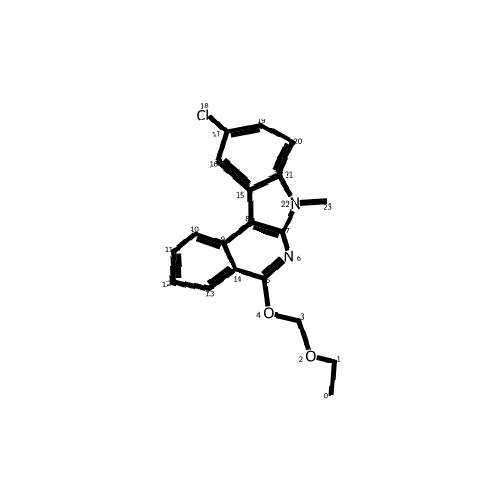 CCOCOc1nc2c(c3ccccc13)c1cc(Cl)ccc1n2C